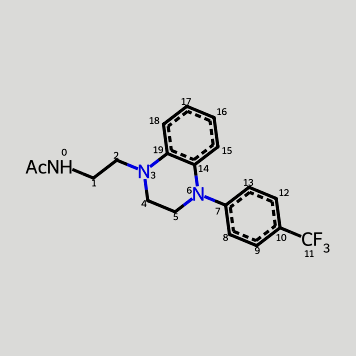 CC(=O)NCCN1CCN(c2ccc(C(F)(F)F)cc2)c2ccccc21